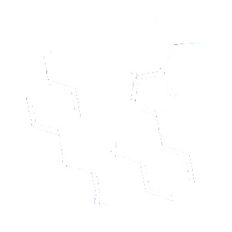 CC(C)c1ccc(NC2=NSc3cccc(-c4cnn(C(F)F)c4)c3N2)cc1